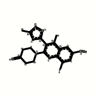 COc1cc(F)c2nc(N3CCC(=O)CC3)c(-c3nc(C)no3)c(C)c2c1